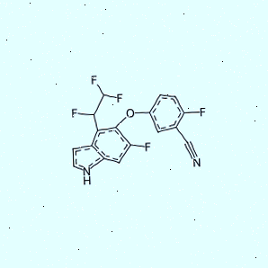 N#Cc1cc(Oc2c(F)cc3[nH]ccc3c2C(F)C(F)F)ccc1F